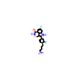 CNCCCCc1ccc(-c2[nH]c3cc(F)cc4c3c2CONC4=O)cc1F